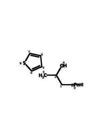 CCCCCCC(C)O.c1ccsc1